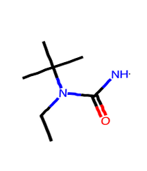 CCN(C([NH])=O)C(C)(C)C